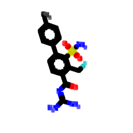 Cc1ccc(-c2ccc(C(=O)N=C(N)N)c(CF)c2S(N)(=O)=O)cc1